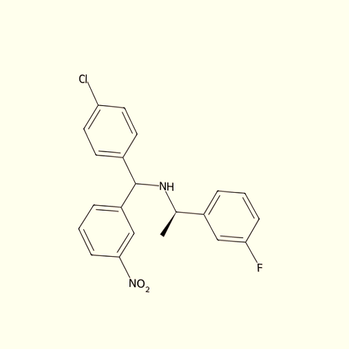 C[C@@H](NC(c1ccc(Cl)cc1)c1cccc([N+](=O)[O-])c1)c1cccc(F)c1